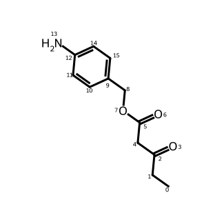 CCC(=O)CC(=O)OCc1ccc(N)cc1